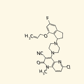 C=CCOc1cc(F)cc2c1C(N1CCN(c3c(C#N)c(=O)n(C)c4ccc(Cl)nc34)CC1)CC2